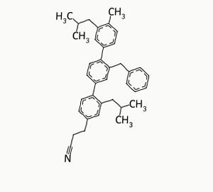 Cc1ccc(-c2ccc(-c3ccc(CCC#N)cc3CC(C)C)cc2Cc2ccccc2)cc1CC(C)C